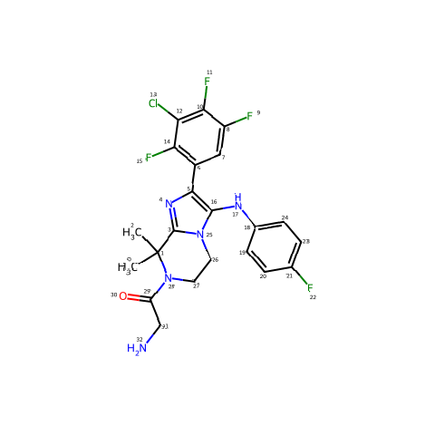 CC1(C)c2nc(-c3cc(F)c(F)c(Cl)c3F)c(Nc3ccc(F)cc3)n2CCN1C(=O)CN